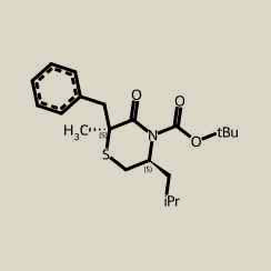 CC(C)C[C@H]1CS[C@@](C)(Cc2ccccc2)C(=O)N1C(=O)OC(C)(C)C